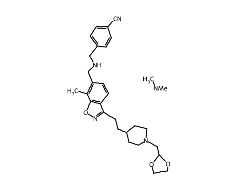 CNC.Cc1c(CNCc2ccc(C#N)cc2)ccc2c(CCC3CCN(CC4OCCO4)CC3)noc12